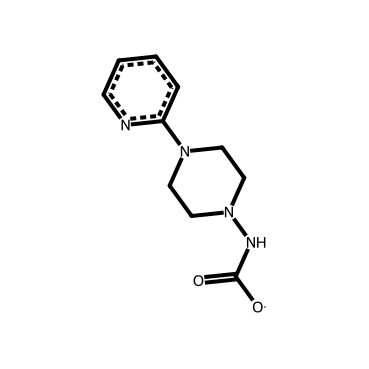 [O]C(=O)NN1CCN(c2ccccn2)CC1